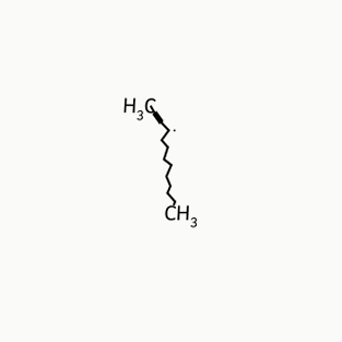 CC#C[CH]CCCCCCCCC